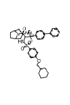 NC1CC2CCC(C1)N2C(=O)C(NS(=O)(=O)c1ccc(OCC2CCCCC2)cc1)C(F)(F)c1ccc(-c2ccccc2)cc1